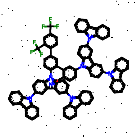 N#Cc1ccc(-n2c3ccc(-n4c5ccccc5c5ccccc54)cc3c3cc(-n4c5ccccc5c5ccccc54)ccc32)cc1-c1cc(-c2ccc(C(F)(F)F)cc2C(F)(F)F)ccc1-n1c2ccc(-n3c4ccccc4c4ccccc43)cc2c2cc(-n3c4ccccc4c4ccccc43)ccc21